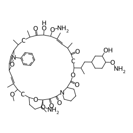 COC1CC2CCC(C)C(ON)(O2)C(=O)C(=O)N2CCCCC2C(=O)OC(C(C)CC2CCC(ON)C(O)C2)CC(=O)C(C)/C=C(\C)C(ON)C(O)C(=O)C(C)CC(C)C2C=CC(/C=C/1C)ON2c1ccccc1